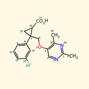 Cc1ncc(OCC2(c3cccc(F)c3)CC2C(=O)O)c(C)n1